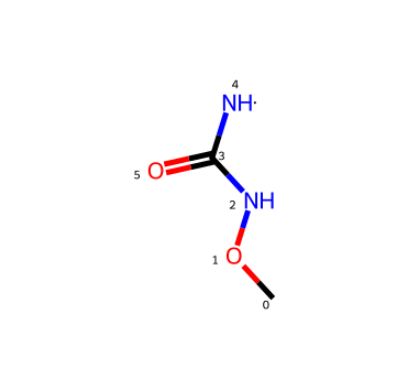 CONC([NH])=O